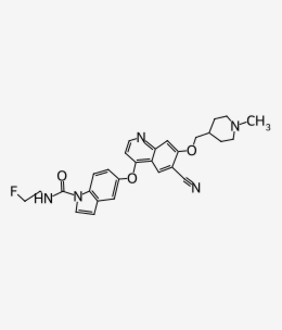 CN1CCC(COc2cc3nccc(Oc4ccc5c(ccn5C(=O)NCCF)c4)c3cc2C#N)CC1